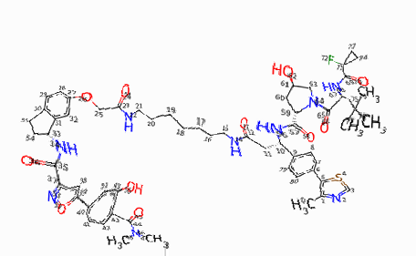 Cc1ncsc1-c1ccc([C@H](CC(=O)NCCCCCCCNC(=O)COc2ccc3c(c2)[C@H](NC(=O)c2cc(-c4ccc(C(=O)N(C)C)c(O)c4)on2)CC3)NC(=O)[C@@H]2C[C@@H](O)CN2C(=O)[C@@H](NC(=O)C2(F)CC2)C(C)(C)C)cc1